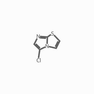 Clc1cnc2sccn12